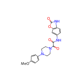 COc1ccc(N2CCN(C(=O)C(=O)Nc3ccc4[nH]c(=O)oc4c3)CC2)cc1